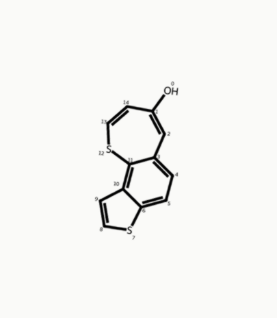 OC1=Cc2ccc3sccc3c2SC=C1